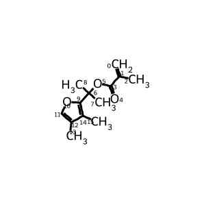 C=C(C)C(=O)OC(C)(C)c1occ(C)c1C